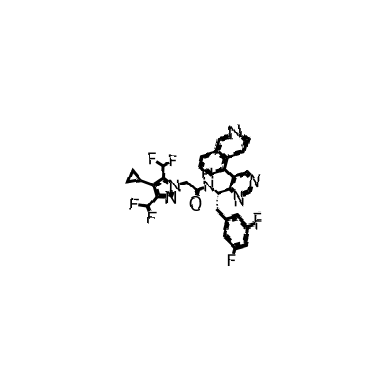 O=C(Cn1nc(C(F)F)c(C2CC2)c1C(F)F)N[C@@H](Cc1cc(F)cc(F)c1)c1ncncc1-c1cccc2cnccc12